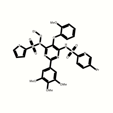 CCON(c1nc(-c2cc(OC)c(OC)c(OC)c2)nc(NS(=O)(=O)c2ccc(C(C)C)cn2)c1Oc1ccccc1OC)S(=O)(=O)c1cccs1